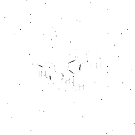 CC(C)c1cc2c(cc1F)c(C1CCC(=O)NC1=O)nn2C